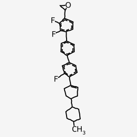 CC1CCC(C2CC=C(c3ccc(-c4ccc(-c5ccc(C6CO6)c(F)c5F)cc4)cc3F)CC2)CC1